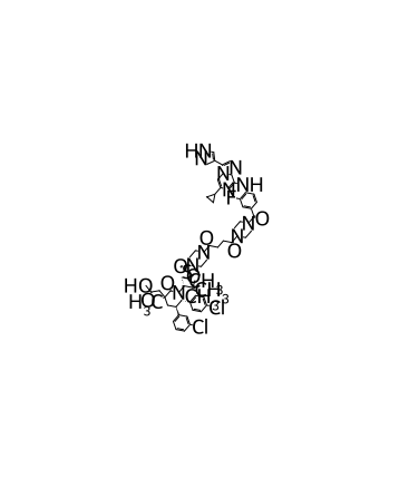 CC(C)(C)[C@@H](CS(=O)(=O)N1CCN(C(=O)CCC(=O)N2CCN(C(=O)c3ccc(Nc4nc(C5CC5)cn5c(-c6cn[nH]c6)cnc45)c(F)c3)CC2)CC1)N1C(=O)[C@@](C)(CC(=O)O)C[C@H](c2cccc(Cl)c2)[C@H]1c1ccc(Cl)cc1